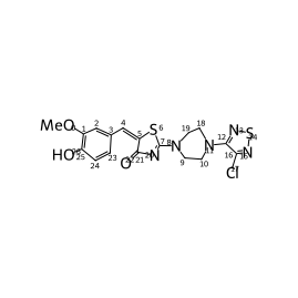 COc1cc(C=C2SC(N3CCN(c4nsnc4Cl)CC3)=NC2=O)ccc1O